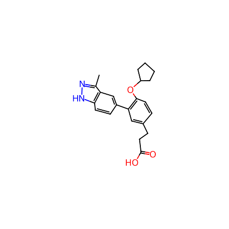 Cc1n[nH]c2ccc(-c3cc(CCC(=O)O)ccc3OC3CCCC3)cc12